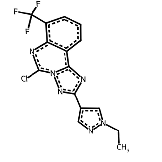 CCn1cc(-c2nc3c4cccc(C(F)(F)F)c4nc(Cl)n3n2)cn1